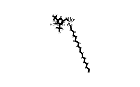 CCCCCCCCCCCCCCCCCCO[PH](=O)Cc1cc(C(C)(C)C)c(O)c(C(C)(C)C)c1